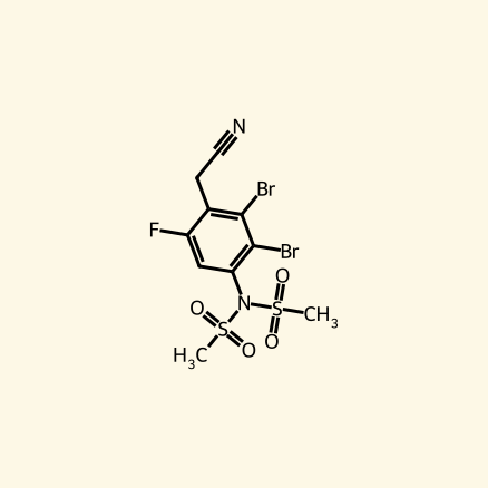 CS(=O)(=O)N(c1cc(F)c(CC#N)c(Br)c1Br)S(C)(=O)=O